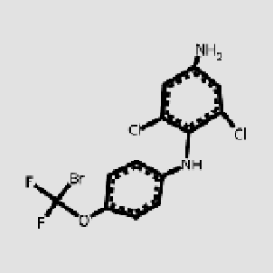 Nc1cc(Cl)c(Nc2ccc(OC(F)(F)Br)cc2)c(Cl)c1